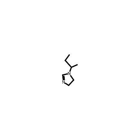 CCC(C)N1C=NCC1